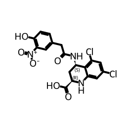 O=C(Cc1ccc(O)c([N+](=O)[O-])c1)N[C@H]1C[C@H](C(=O)O)Nc2cc(Cl)cc(Cl)c21